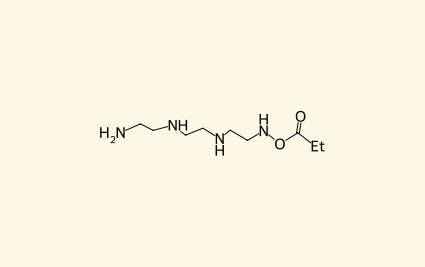 CCC(=O)ONCCNCCNCCN